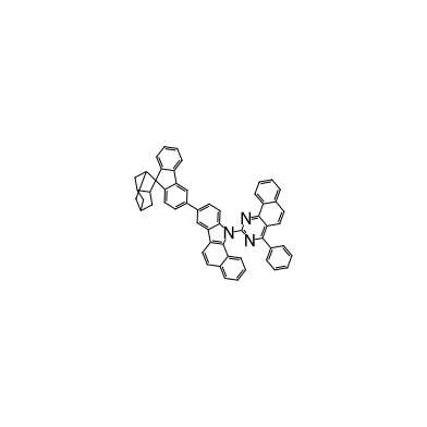 c1ccc(-c2nc(-n3c4ccc(-c5ccc6c(c5)-c5ccccc5C65C6CC7CC(C6)C5C7)cc4c4ccc5ccccc5c43)nc3c2ccc2ccccc23)cc1